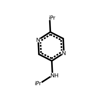 CC(C)Nc1cnc(C(C)C)cn1